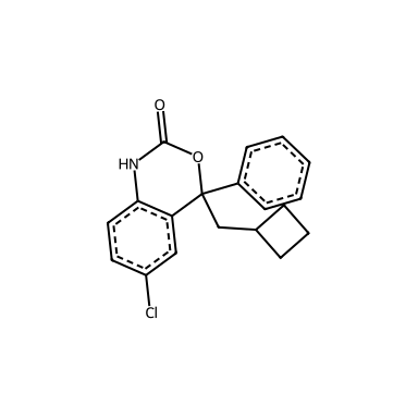 O=C1Nc2ccc(Cl)cc2C(CC2CCC2)(c2ccccc2)O1